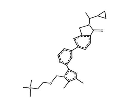 Cc1nc(-c2cc(-c3ccc4c(c3)CN(C(C)C3CC3)C4=O)ccn2)n(COCC[Si](C)(C)C)c1I